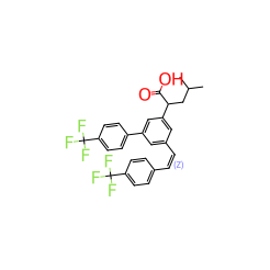 CC(C)CC(C(=O)O)c1cc(/C=C\c2ccc(C(F)(F)F)cc2)cc(-c2ccc(C(F)(F)F)cc2)c1